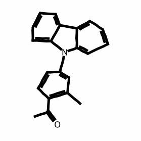 CC(=O)c1ccc(-n2c3ccccc3c3ccccc32)cc1C